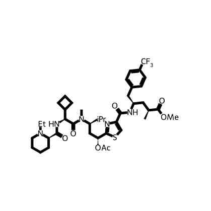 CCN1CCCC[C@@H]1C(=O)N[C@H](C(=O)N(C)[C@H](C[C@@H](OC(C)=O)c1nc(C(=O)N[C@@H](Cc2ccc(C(F)(F)F)cc2)C[C@H](C)C(=O)OC)cs1)C(C)C)C1CCC1